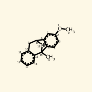 COc1ccc2c(c1)C1Cc3ccccc3C2(C)N1